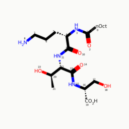 CCCCCCCCC(=O)N[C@@H](CCCN)C(=O)N[C@H](C(=O)N[C@H](CO)C(=O)O)[C@@H](C)O